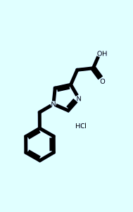 Cl.O=C(O)Cc1cn(Cc2ccccc2)cn1